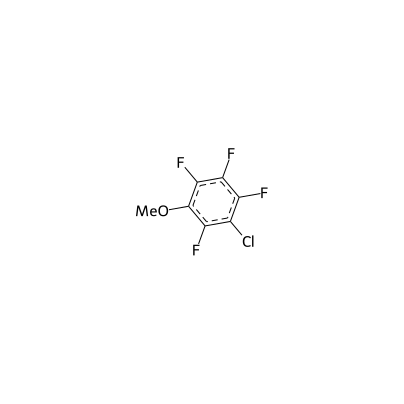 COc1c(F)c(F)c(F)c(Cl)c1F